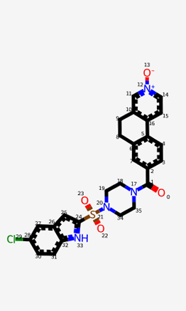 O=C(c1ccc2c(c1)CCc1c[n+]([O-])ccc1-2)N1CCN(S(=O)(=O)c2cc3cc(Cl)ccc3[nH]2)CC1